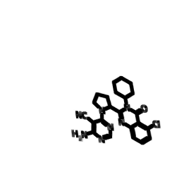 N#Cc1c(N)ncnc1N1CCCC1c1nc2cccc(Cl)c2c(=O)n1C1CCCCC1